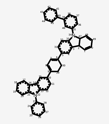 C1=CC2c3cc(C4=CC=C(c5ccc6c(c5)c5ccccc5n6-c5ccccc5)CC4)ccc3N(c3cccc(-c4ccccc4)c3)C2C=C1